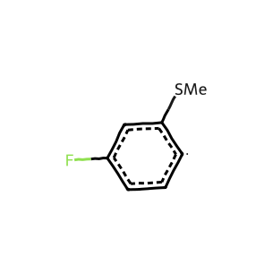 CSc1[c]ccc(F)c1